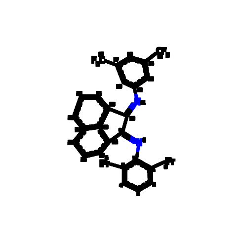 CC(C)c1cccc(C(C)C)c1/N=C1/C(=N/c2cc(C(F)(F)F)cc(C(F)(F)F)c2)c2cccc3cccc1c23